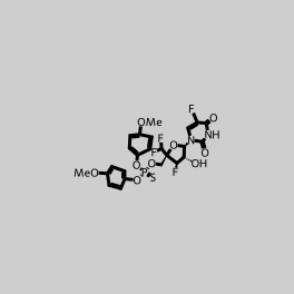 COc1ccc(OP(=S)(OC[C@@]2(C(F)F)O[C@@H](n3cc(F)c(=O)[nH]c3=O)[C@H](O)[C@H]2F)Oc2ccc(OC)cc2)cc1